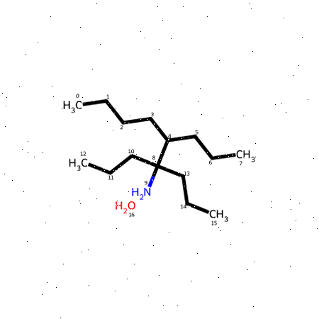 CCCCC(CCC)C(N)(CCC)CCC.O